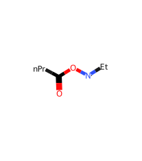 CCCC(=O)O[N]CC